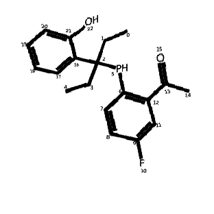 CCC(CC)(Pc1ccc(F)cc1C(C)=O)c1ccccc1O